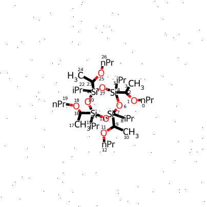 CCCOC(C)[Si]1(C(C)C)O[Si](C(C)C)(C(C)OCCC)O[Si](C(C)C)(C(C)OCCC)O[Si](C(C)C)(C(C)OCCC)O1